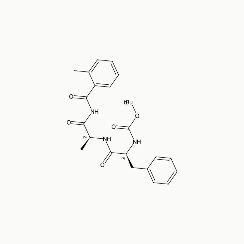 Cc1ccccc1C(=O)NC(=O)[C@H](C)NC(=O)[C@H](Cc1ccccc1)NC(=O)OC(C)(C)C